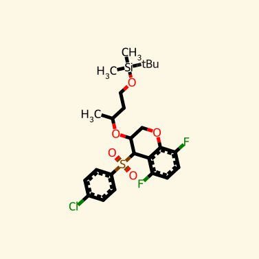 CC(CCO[Si](C)(C)C(C)(C)C)OC1COc2c(F)ccc(F)c2C1S(=O)(=O)c1ccc(Cl)cc1